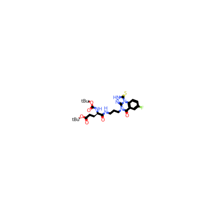 CC(C)(C)OC(=O)CC[C@@H](NC(=O)OC(C)(C)C)C(=O)NCCCn1c(=O)c2cc(F)ccc2n2c(=S)[nH]nc12